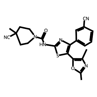 Cc1nc(C)c(-c2sc(NC(=O)N3CCC(C)(C#N)CC3)nc2-c2cccc(C#N)c2)o1